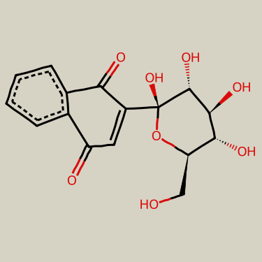 O=C1C=C([C@@]2(O)O[C@H](CO)[C@@H](O)[C@H](O)[C@H]2O)C(=O)c2ccccc21